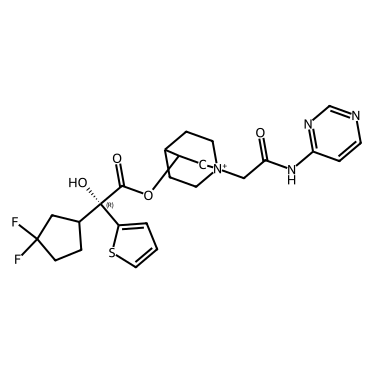 O=C(C[N+]12CCC(CC1)C(OC(=O)[C@@](O)(c1cccs1)C1CCC(F)(F)C1)C2)Nc1ccncn1